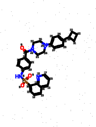 O=C(c1ccc(NS(=O)(=O)c2cccc3cccnc23)cc1)N1CCN(c2ccc(C3CCC3)cc2)CC1